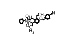 C=Cc1c(OCc2ccc(C#N)cc2)ccc2c1C[C@H]1C(=O)N(c3ccccc3)C(=O)N1C2CC